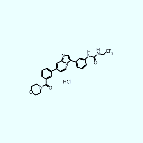 Cl.O=C(NCC(F)(F)F)Nc1cccc(-c2cnc3cc(-c4cccc(C(=O)N5CCOCC5)c4)ccn23)c1